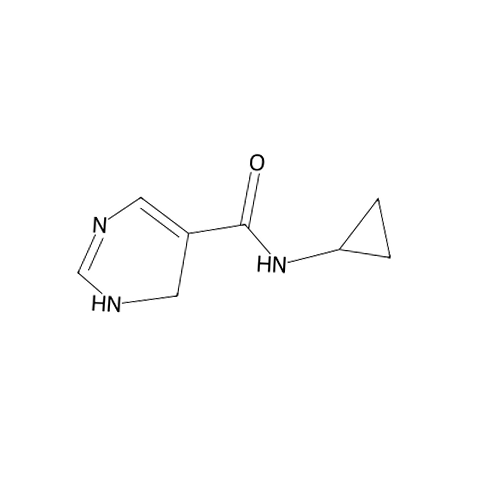 O=C(NC1CC1)C1=CN=CNC1